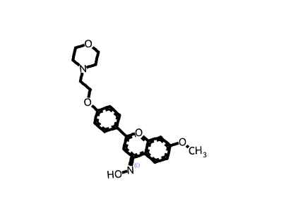 COc1ccc2/c(=N/O)cc(-c3ccc(OCCN4CCOCC4)cc3)oc2c1